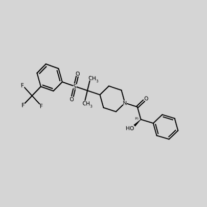 CC(C)(C1CCN(C(=O)[C@H](O)c2ccccc2)CC1)S(=O)(=O)c1cccc(C(F)(F)F)c1